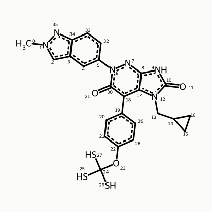 Cn1cc2cc(-n3nc4[nH]c(=O)n(CC5CC5)c4c(-c4ccc(OC(S)(S)S)cc4)c3=O)ccc2n1